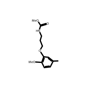 COC(=O)NCCCOc1cc(C)ccc1OC